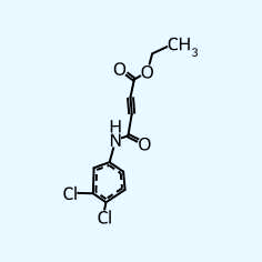 CCOC(=O)C#CC(=O)Nc1ccc(Cl)c(Cl)c1